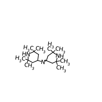 CC1(C)CC(=NC2CC(C)(C)NC(C)(C)C2)CC(C)(C)N1